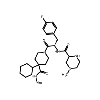 CN1CCNC(C(=O)N[C@H](Cc2ccc(F)cc2)C(=O)N2CCC(C(=O)NC(C)(C)C)(C3CCCCC3)CC2)C1